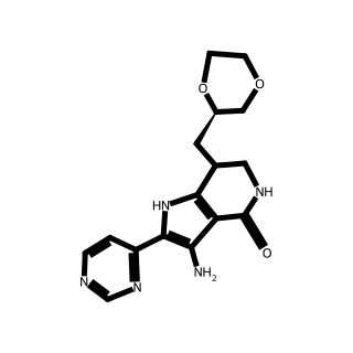 Nc1c(-c2ccncn2)[nH]c2c1C(=O)NCC2C[C@@H]1COCCO1